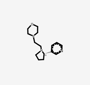 c1cncc([C@@H]2CCCN2CCN2CCOCC2)c1